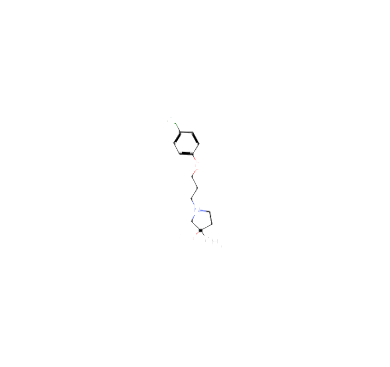 CC1(O)CCN(CCCOc2ccc(Cl)cc2)C1